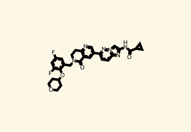 O=C(Nc1cn2nc(-c3cnc4c(c3)C(=O)N(Cc3cc(F)cc(F)c3OC3CCOCC3)CC4)ccc2n1)C1CC1